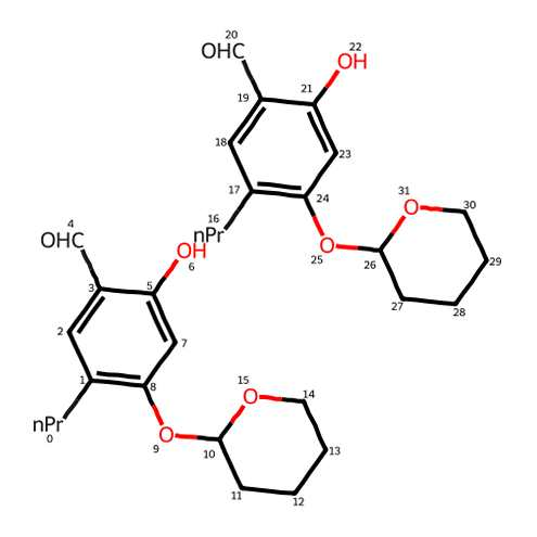 CCCc1cc(C=O)c(O)cc1OC1CCCCO1.CCCc1cc(C=O)c(O)cc1OC1CCCCO1